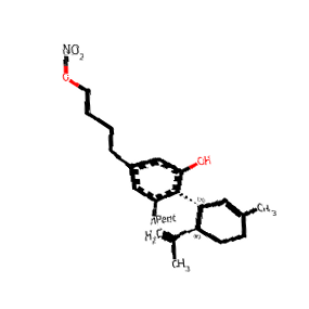 C=C(C)[C@@H]1CCC(C)=C[C@H]1c1c(O)cc(CCCCO[N+](=O)[O-])cc1CCCCC